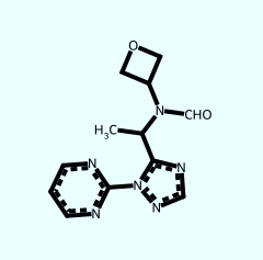 CC(c1ncnn1-c1ncccn1)N(C=O)C1COC1